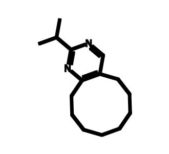 CC(C)c1ncc2c(n1)CCCCCCCC2